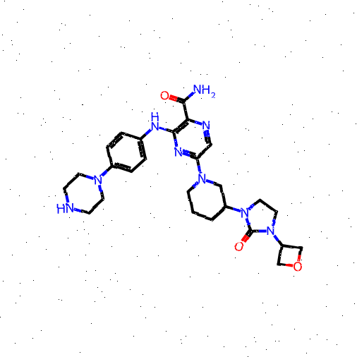 NC(=O)c1ncc(N2CCCC(N3CCN(C4COC4)C3=O)C2)nc1Nc1ccc(N2CCNCC2)cc1